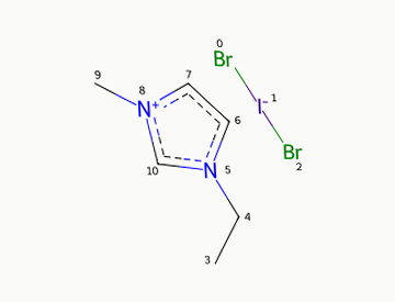 Br[I-]Br.CCn1cc[n+](C)c1